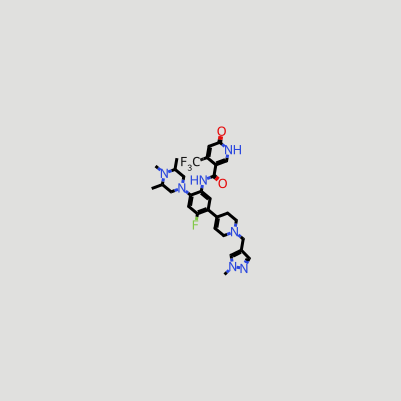 CC1CN(c2cc(F)c(C3=CCN(Cc4cnn(C)c4)CC3)cc2NC(=O)c2c[nH]c(=O)cc2C(F)(F)F)CC(C)N1C